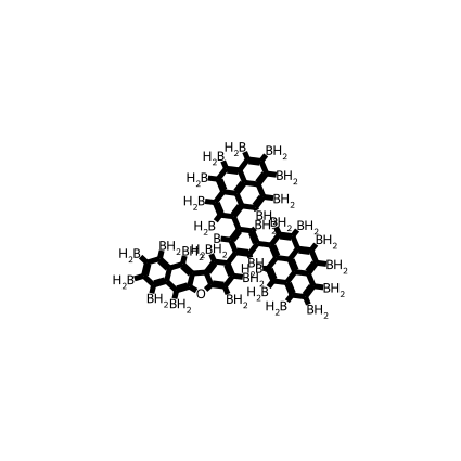 Bc1c(-c2c(B)c(B)c3oc4c(B)c5c(B)c(B)c(B)c(B)c5c(B)c4c3c2B)c(B)c(-c2c(B)c(B)c3c(B)c(B)c4c(B)c(B)c(B)c5c(B)c(B)c2c3c45)c(B)c1-c1c(B)c(B)c2c(B)c(B)c3c(B)c(B)c(B)c4c(B)c(B)c1c2c34